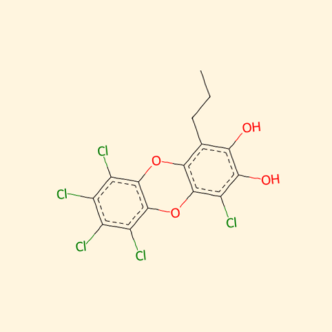 CCCc1c(O)c(O)c(Cl)c2c1Oc1c(Cl)c(Cl)c(Cl)c(Cl)c1O2